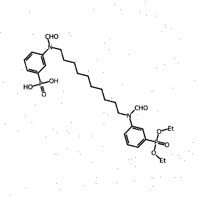 CCOP(=O)(OCC)c1cccc(N(C=O)CCCCCCCCCCN(C=O)c2cccc(P(=O)(O)O)c2)c1